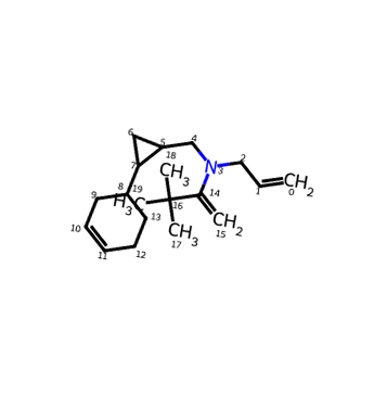 C=CCN(CC1CC1C1CC=CCC1)C(=C)C(C)(C)C